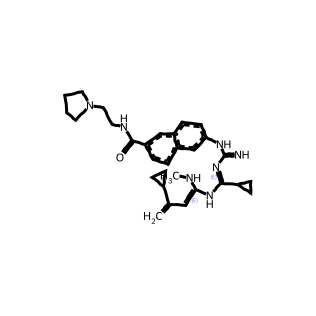 C=C(/C=C(\NC)N/C(=N/C(=N)Nc1ccc2cc(C(=O)NCCN3CCCC3)ccc2c1)C1CC1)C1CC1